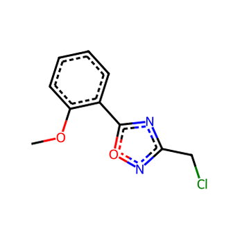 COc1ccccc1-c1nc(CCl)no1